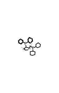 C[C@H]1CC[C@@H]([C@H](C)P(C2CCCCC2)C2CCCCC2)C1P(c1ccccc1)c1ccccc1